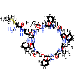 CC(C)C[C@H]1C(=O)N[C@@H](Cc2ccccc2)C(=O)N(C)CC(=O)N(C)[C@@H](Cc2ccccc2)C(=O)N[C@@H](C)C(=O)N(C)[C@@H](C)C(=O)N[C@@H](Cc2ccccc2)C(=O)OCC(=O)N(C)[C@@H](Cc2ccccc2)C(=O)N[C@@H](CCCCNC(=O)[C@@H](N)CSSC(C)(C)C)C(=O)N1C